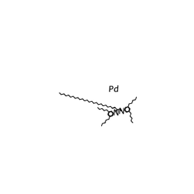 CCCCCCCCCCCCCCCCCCCCCCCC=CC(C=Nc1cc(CCCCC)cc(CCCCC)c1)=Nc1cc(CCCCC)cc(CCCCC)c1.[Pd]